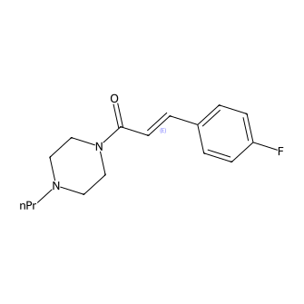 CCCN1CCN(C(=O)/C=C/c2ccc(F)cc2)CC1